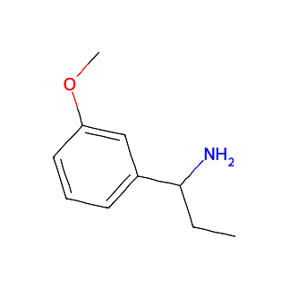 CCC(N)c1cccc(OC)c1